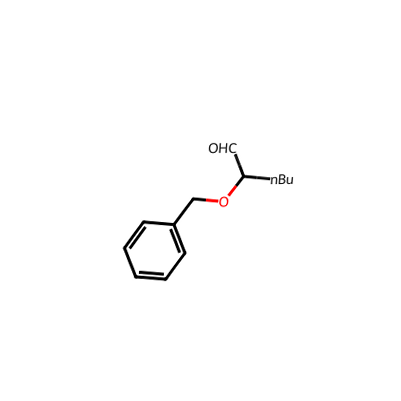 CCCCC(C=O)OCc1ccccc1